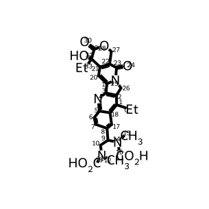 CCc1c2c(nc3ccc(C(CN(C)C(=O)O)N(C)C(=O)O)cc13)-c1cc3c(c(=O)n1C2)COC(=O)C3(O)CC